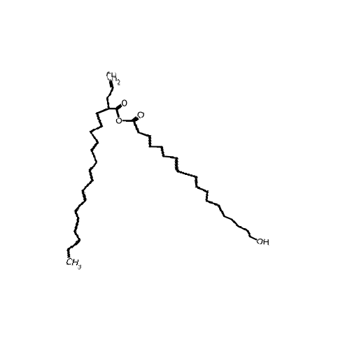 C=CCC(CCCCCCCCCCCCCCCC)C(=O)OC(=O)CCCCCCCCCCCCCCCCCO